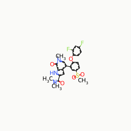 CN(C)C(=O)c1cc2c(-c3cc(S(C)(=O)=O)ccc3Oc3ccc(F)cc3F)cn(C)c(=O)c2[nH]1